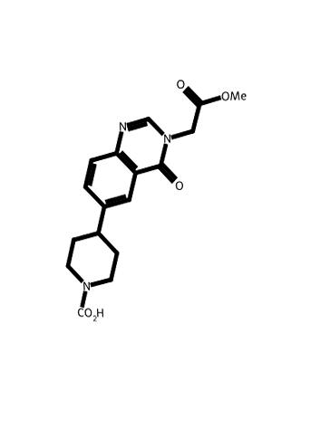 COC(=O)Cn1cnc2ccc(C3CCN(C(=O)O)CC3)cc2c1=O